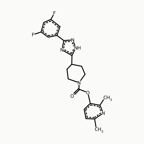 Cc1ccc(OC(=O)N2CCC(c3nc(-c4cc(F)cc(F)c4)n[nH]3)CC2)c(C)n1